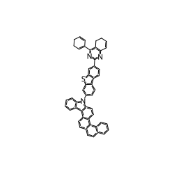 C1=CC(c2nc(-c3ccc4c(c3)sc3cc(-n5c6ccccc6c6c7ccc8ccc9ccccc9c8c7ccc65)ccc34)nc3c2CCC=C3)=CCC1